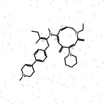 C=C1/C=C(N(C)/C(Cc2ccc(C3=CCN(C)CC3)cc2)=C(/C)CC)\C=C/CN(CC)C(=C)/C=C\1N1CCCCC1